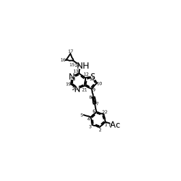 CC(=O)c1ccc(C)c(C#Cc2csc3c(NC4CC4)ncnc23)c1